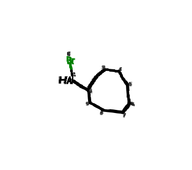 [Br][AlH][CH]1CCCCCCC1